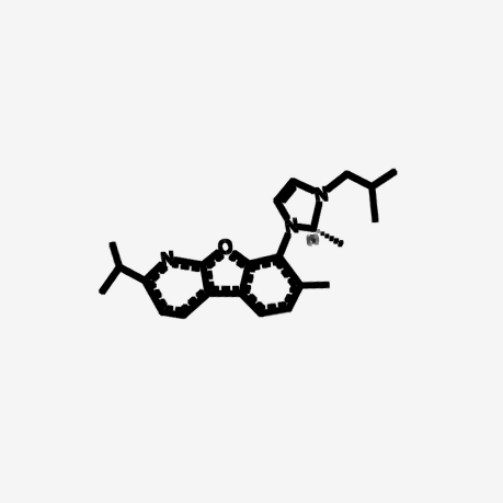 Cc1ccc2c(oc3nc(C(C)C)ccc32)c1N1C=CN(CC(C)C)[C@@H]1C